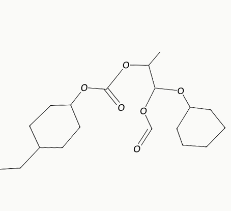 CCC1CCC(OC(=O)OC(C)C(OC=O)OC2CCCCC2)CC1